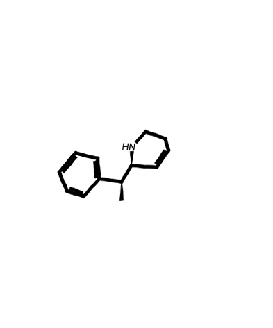 C[C@@H](c1ccccc1)[C@@H]1C=CCCN1